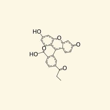 CCC(=O)c1ccc(C(=O)O)c(-c2c3ccc(=O)cc-3oc3cc(O)ccc23)c1